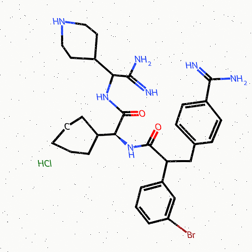 Cl.N=C(N)c1ccc(CC(C(=O)N[C@H](C(=O)NC(C(=N)N)C2CCNCC2)C2CCCCC2)c2cccc(Br)c2)cc1